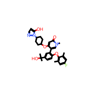 Cc1cc(F)cc(C)c1Oc1ccc(C(C)(C)O)cc1-c1cn(C)c(=O)cc1OC1CCC(n2nccc2O)CC1